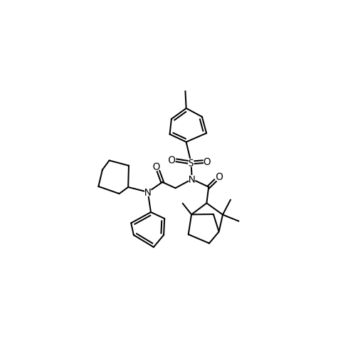 Cc1ccc(S(=O)(=O)N(CC(=O)N(c2ccccc2)C2CCCCC2)C(=O)C2C3(C)CCC(C3)C2(C)C)cc1